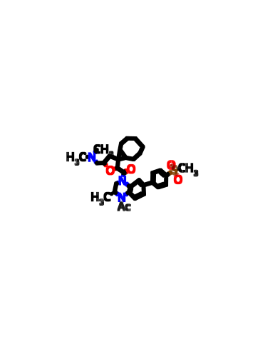 CC(=O)N1c2ccc(-c3ccc(S(C)(=O)=O)cc3)cc2N(C(=O)C2OC(CN(C)C)CC23C2CCCCCCC23)C[C@@H]1C